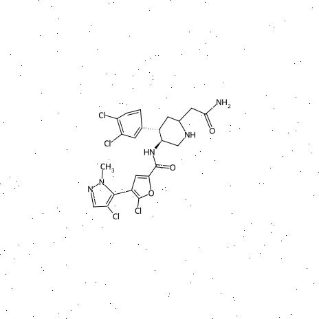 Cn1ncc(Cl)c1-c1cc(C(=O)N[C@@H]2CNC(CC(N)=O)C[C@H]2c2ccc(Cl)c(Cl)c2)oc1Cl